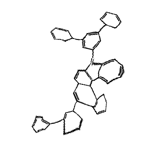 C1=CCC(c2cc(C3C=CC=CC3)cc(-n3c4c(c5ccccc53)C3C5=C(C=CCC5)C(C5C=C(c6ccccc6)CCC5)=CC3C=C4)c2)C=C1